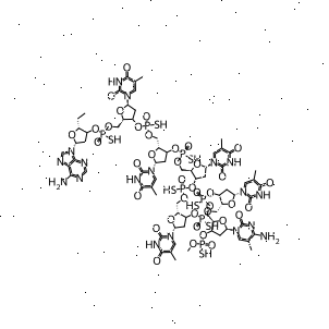 CC[C@H]1O[C@@H](n2cnc3c(N)ncnc32)CC1OP(=O)(S)OC[C@H]1O[C@@H](n2cc(C)c(=O)[nH]c2=O)CC1OP(=O)(S)OC[C@H]1O[C@@H](n2cc(C)c(=O)[nH]c2=O)CC1OP(=O)(S)OC[C@H]1O[C@@H](n2cc(C)c(=O)[nH]c2=O)CC1OP(=O)(S)OC[C@H]1O[C@@H](n2cc(C)c(=O)[nH]c2=O)CC1OP(=O)(S)OC[C@H]1O[C@@H](n2cc(C)c(=O)[nH]c2=O)CC1OP(=O)(S)OC[C@H]1O[C@@H](n2cc(C)c(N)nc2=O)CC1OP(=O)(S)OC